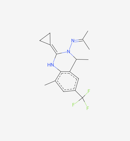 CC(C)=NN1C(=C2CC2)Nc2c(C)cc(C(F)(F)F)cc2C1C